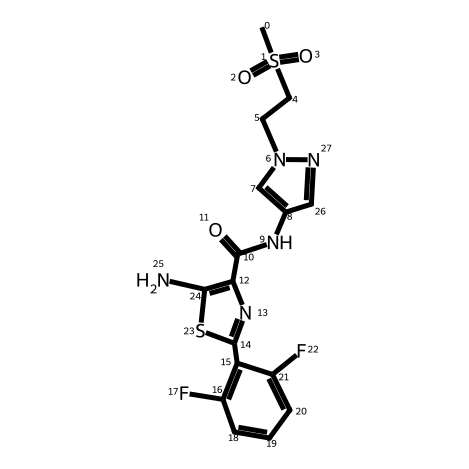 CS(=O)(=O)CCn1cc(NC(=O)c2nc(-c3c(F)cccc3F)sc2N)cn1